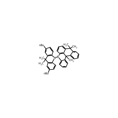 CCCCc1ccc2c(c1)C(C)(C)c1cc(CCCC)ccc1N2B1c2ccccc2C2(C)c3ccccc3C(C)(C)c3cccc1c32